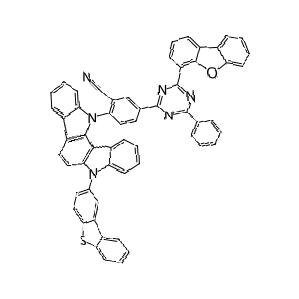 N#Cc1cc(-c2nc(-c3ccccc3)nc(-c3cccc4c3oc3ccccc34)n2)ccc1-n1c2ccccc2c2ccc3c(c4ccccc4n3-c3ccc4sc5ccccc5c4c3)c21